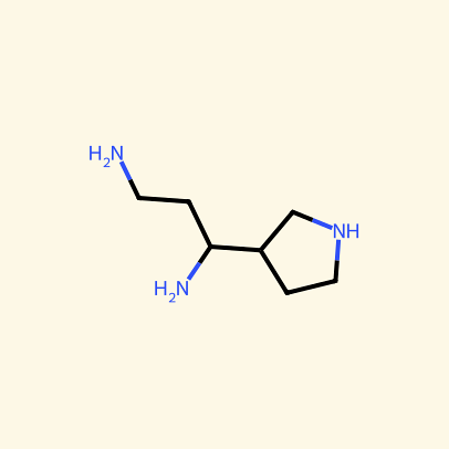 NCCC(N)C1CCNC1